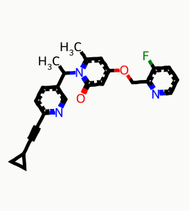 Cc1cc(OCc2ncccc2F)cc(=O)n1C(C)c1ccc(C#CC2CC2)nc1